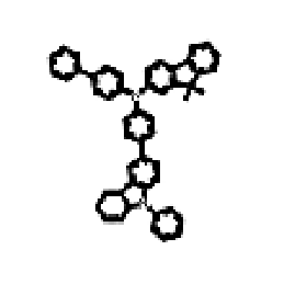 CC1(C)c2ccccc2-c2ccc(N(c3ccc(-c4ccccc4)cc3)c3ccc(-c4ccc5c(c4)C4CCC=CC4N5c4ccccc4)cc3)cc21